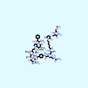 CC[C@H](C)[C@@H]([C@@H](CC(=O)N1CCCC1[C@H](OC)[C@@H](C)C(=O)N[C@H](C)[C@@H](O)c1ccccc1)OC)N(C)C(=O)[C@H](NC(=O)[C@H](C(C)C)N(C)C(=O)OCc1ccc(NC(=O)[C@H](CCCNC(N)=O)NC(=O)[C@@H](NC(=O)CCCCCN2C(=O)CC(SCC(NC(=O)CON)C(N)=O)C2=O)C(C)C)cc1)C(C)C